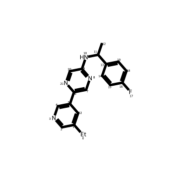 CCc1cncc(-c2cnc(NC(C)c3ccc(F)cc3)cn2)c1